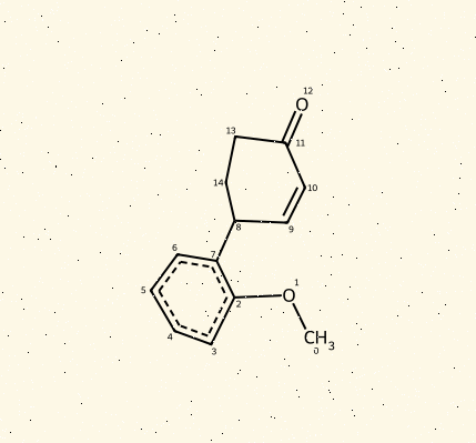 COc1ccccc1C1C=CC(=O)CC1